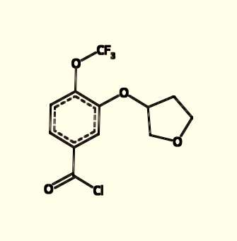 O=C(Cl)c1ccc(OC(F)(F)F)c(OC2CCOC2)c1